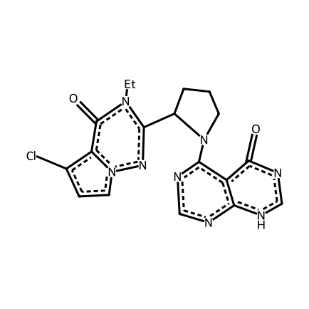 CCn1c(C2CCCN2c2ncnc3[nH]cnc(=O)c23)nn2ccc(Cl)c2c1=O